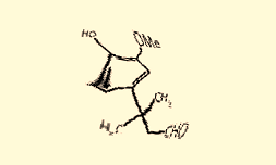 COc1cc(C(C)(C)CC=O)ccc1O